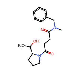 CN(Cc1ccccc1)C(=O)CCC(=O)N1CCC[C@H]1C(O)C(F)(F)F